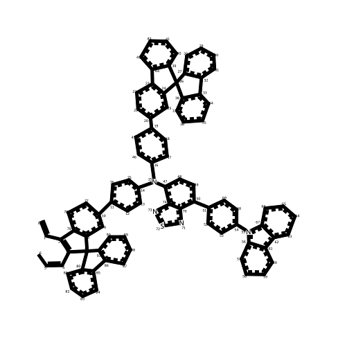 C=CC1=C(/C=C\C)C2(c3cc(-c4ccc(N(c5ccc(-c6ccc7c(c6)C6(c8ccccc8-c8ccccc86)c6ccccc6-7)cc5)c5ccc(-c6ccc(-n7c8ccccc8c8ccccc87)cc6)c6nsnc56)cc4)ccc31)c1ccccc1-c1ccccc12